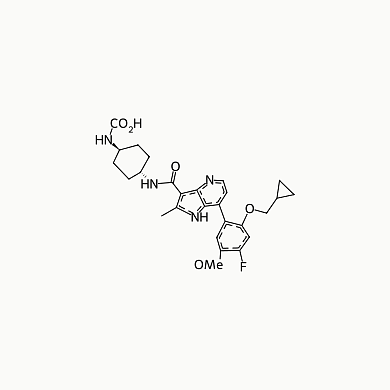 COc1cc(-c2ccnc3c(C(=O)N[C@H]4CC[C@H](NC(=O)O)CC4)c(C)[nH]c23)c(OCC2CC2)cc1F